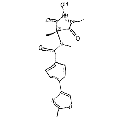 CNC(=O)[C@@](C)(C(=O)NO)N(C)C(=O)c1ccc(-c2coc(C)n2)cc1